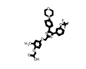 Cc1cc(OCc2nc(-c3ccc(N4CCOCC4)cc3)c(-c3cccc(OC(F)(F)F)c3)s2)ccc1OCC(=O)O